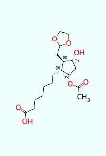 CC(=O)O[C@H]1C[C@@H](O)[C@H](CC2OCCO2)[C@H]1CCCCCCC(=O)O